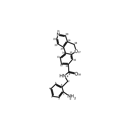 Nc1ccccc1CNC(=O)c1ccc2c(c1)OCc1cnccc1-2